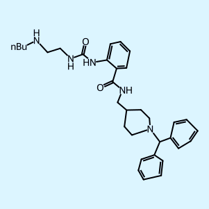 CCCCNCCNC(=O)Nc1ccccc1C(=O)NCC1CCN(C(c2ccccc2)c2ccccc2)CC1